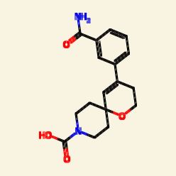 NC(=O)c1cccc(C2=CC3(CCN(C(=O)O)CC3)OCC2)c1